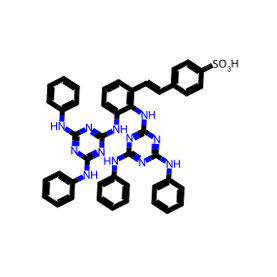 O=S(=O)(O)c1ccc(C=Cc2cccc(Nc3nc(Nc4ccccc4)nc(Nc4ccccc4)n3)c2Nc2nc(Nc3ccccc3)nc(Nc3ccccc3)n2)cc1